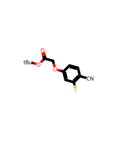 CC(C)(C)OC(=O)COc1ccc(C#N)c(F)c1